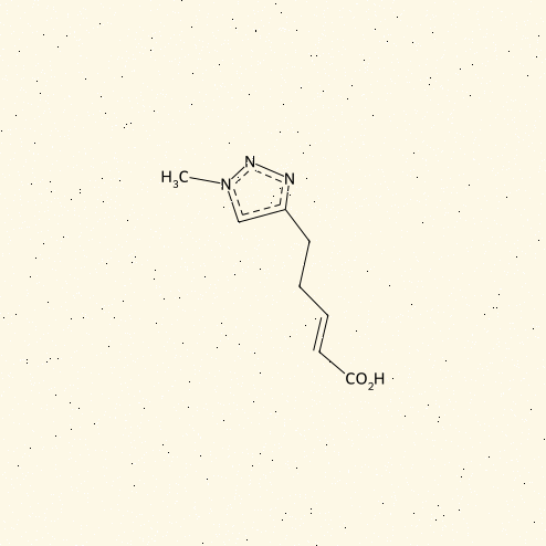 Cn1cc(CCC=CC(=O)O)nn1